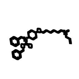 C=CCN(C)CCCCCCO[C@H]1CC[C@H](N(Cc2ccccc2)C(=O)OCc2ccccc2)CC1